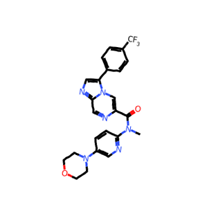 CN(C(=O)c1cn2c(-c3ccc(C(F)(F)F)cc3)cnc2cn1)c1ccc(N2CCOCC2)cn1